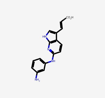 Nc1cccc(Nc2ccc3c(/C=C/C(=O)O)c[nH]c3n2)c1